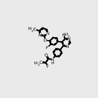 C=C(F)C(=O)Nc1ccc(-c2ncnc(N)c2-c2ccc(Oc3nccc(C)n3)c(F)c2)cc1